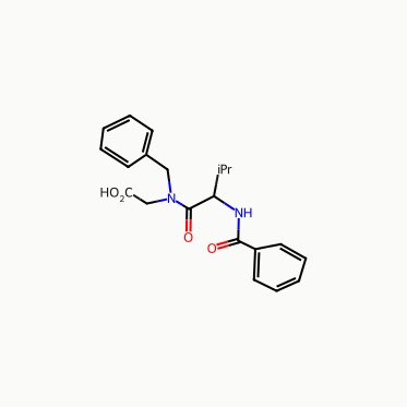 CC(C)C(NC(=O)c1ccccc1)C(=O)N(CC(=O)O)Cc1ccccc1